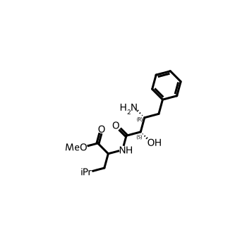 COC(=O)C(CC(C)C)NC(=O)[C@@H](O)[C@H](N)Cc1ccccc1